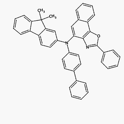 CC1(C)c2ccccc2-c2ccc(N(c3ccc(-c4ccccc4)cc3)c3cc4ccccc4c4oc(-c5ccccc5)nc34)cc21